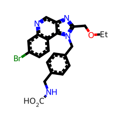 CCOCc1nc2cnc3cc(Br)ccc3c2n1Cc1ccc(CNC(=O)O)cc1